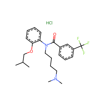 CC(C)COc1ccccc1N(CCCCN(C)C)C(=O)c1cccc(C(F)(F)F)c1.Cl